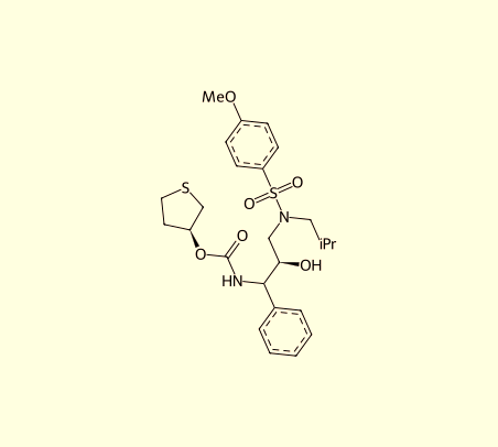 COc1ccc(S(=O)(=O)N(CC(C)C)C[C@@H](O)C(NC(=O)O[C@H]2CCSC2)c2ccccc2)cc1